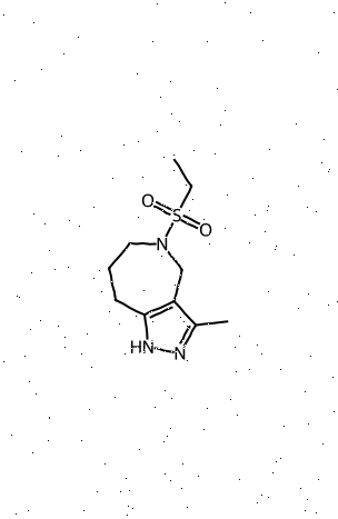 CCS(=O)(=O)N1CCCc2[nH]nc(C)c2C1